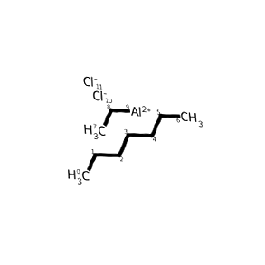 CCCCCCC.C[CH2][Al+2].[Cl-].[Cl-]